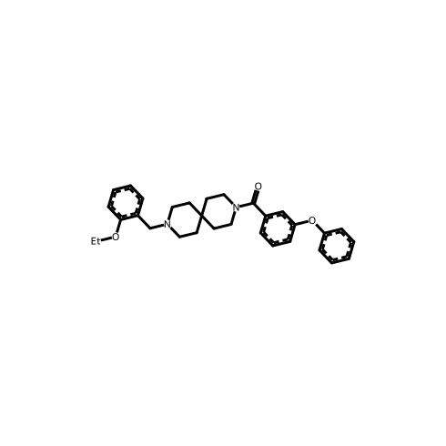 CCOc1ccccc1CN1CCC2(CC1)CCN(C(=O)c1cccc(Oc3ccccc3)c1)CC2